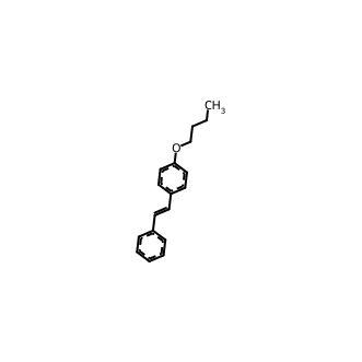 CCCCOc1ccc(C=Cc2ccccc2)cc1